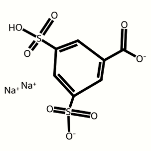 O=C([O-])c1cc(S(=O)(=O)[O-])cc(S(=O)(=O)O)c1.[Na+].[Na+]